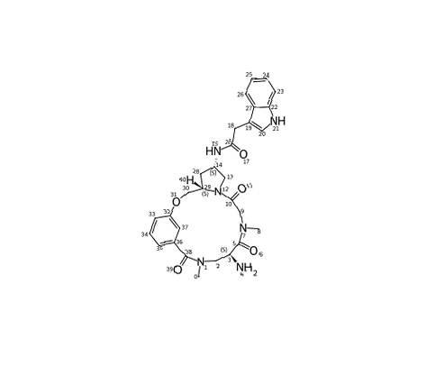 CN1C[C@H](N)C(=O)N(C)CC(=O)N2C[C@@H](NC(=O)Cc3c[nH]c4ccccc34)C[C@H]2COc2cccc(c2)C1=O